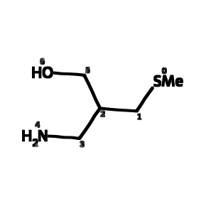 CSCC(CN)CO